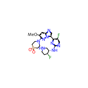 COc1cc2ncc(-c3nc(N[C@H]4CNCC[C@@H]4F)ncc3F)n2nc1N1CCS(=O)(=O)CC1